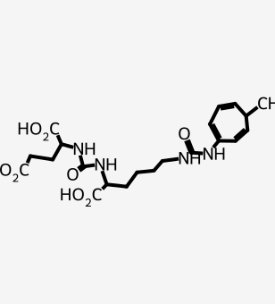 CC1C=CC=C(NC(=O)NCCCCC(NC(=O)NC(CCC(=O)O)C(=O)O)C(=O)O)C=C1